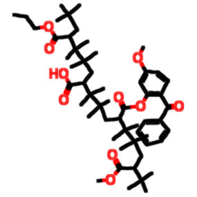 CCCOC(=O)C(CC(C)(C)C)C(C)(C)C(C)(C)CC(C(=O)O)C(C)(C)C(C)(C)CC(C(=O)Oc1cc(OC)ccc1C(=O)c1ccccc1)C(C)(C)C(C)(C)CC(C(=O)OC)C(C)(C)C